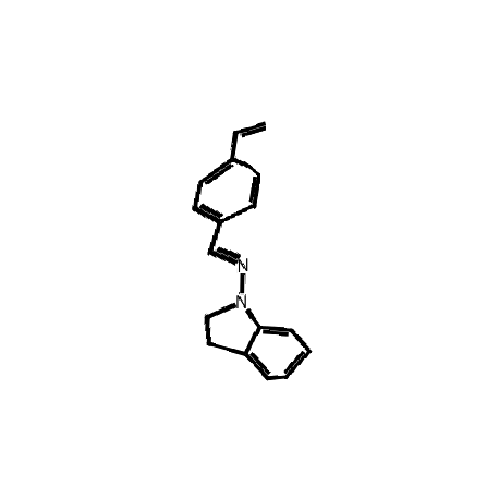 C=Cc1ccc(C=NN2CCc3ccccc32)cc1